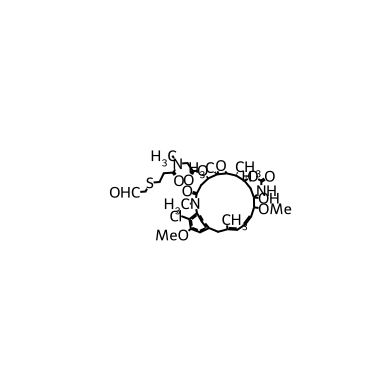 COc1cc2cc(c1Cl)N(C)C(=O)C[C@@H](OC(=O)CN(C)C(=O)CCSCC=O)[C@]1(C)OC1[C@H](C)[C@@H]1CC(O)(NC(=O)O1)C(OC)/C=C\C=C(/C)C2